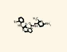 CCc1ccccc1Nc1ncc2n(c1=O)[C@@H](C(=O)NCc1ccc(N)nc1C)CC2